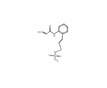 C=CC(=O)Nc1ccccc1CCCOS(C)(=O)=O